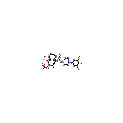 CC(=O)O[C@@H]1[CH][C@@]2(O)[C@H](C)CC[C@@H](C(C)CN3CCN(c4cc(C)cc(C)c4)CC3)[C@H]2C=C1C